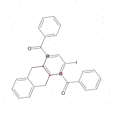 O=C(OC1C2c3ccccc3C(c3cc(I)ccc32)C1OC(=O)c1ccccc1)c1ccccc1